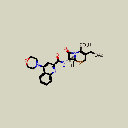 CC(=O)OCC1=C(C(=O)O)N2C(=O)[C@@H](NC(=O)c3cc(N4CCOCC4)c4ccccc4n3)[C@H]2SC1